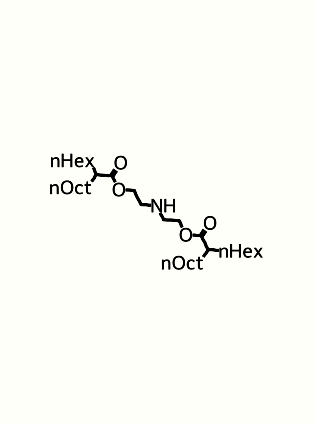 CCCCCCCCC(CCCCCC)C(=O)OCCNCCOC(=O)C(CCCCCC)CCCCCCCC